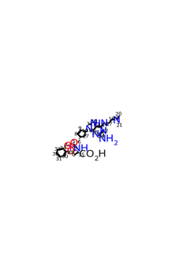 C[C@H](N[P@@](=O)(OC[C@@H]1C=C[C@H](n2cnc3c(NCCN(C)C)nc(N)nc32)C1)Oc1ccccc1)C(=O)O